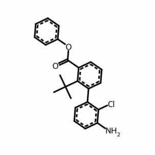 CC(C)(C)c1c(C(=O)Oc2ccccc2)cccc1-c1cccc(N)c1Cl